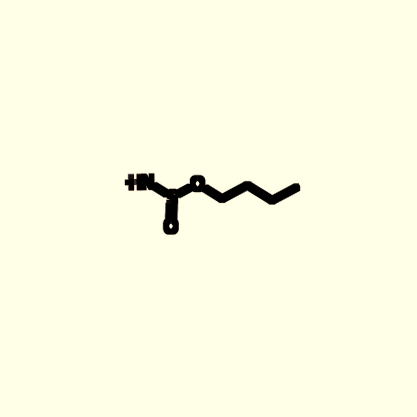 CCCCOS([NH])=O